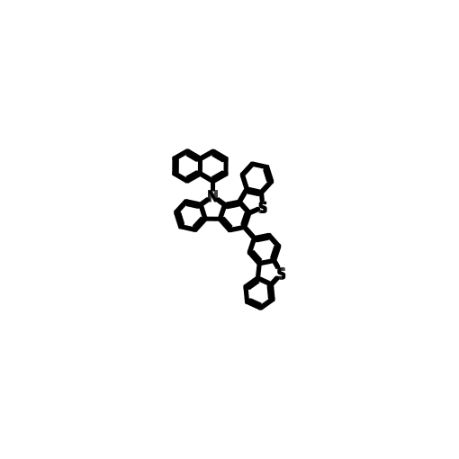 C1=Cc2sc3c(-c4ccc5sc6ccccc6c5c4)cc4c5ccccc5n(-c5cccc6ccccc56)c4c3c2CC1